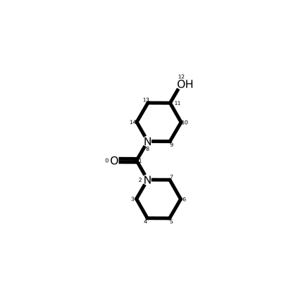 O=C(N1CCCCC1)N1CCC(O)CC1